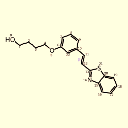 OCCCCOc1cccc(/C=C/c2nc3ccccc3s2)c1